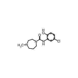 CN1CCCN(C(=O)Nc2cc(Cl)ccc2O)CC1